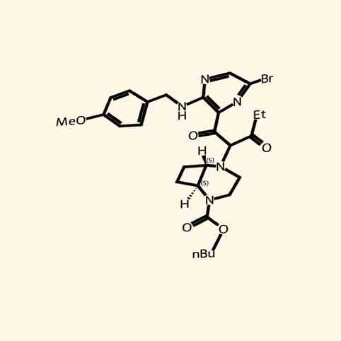 CCCCOC(=O)N1CCN(C(C(=O)CC)C(=O)c2nc(Br)cnc2NCc2ccc(OC)cc2)[C@H]2CC[C@@H]21